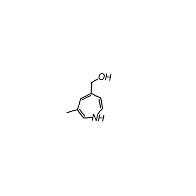 CC1=CNC=CC(CO)=C1